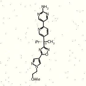 COCCn1cc(-c2nc([C@](C)(c3ccc(-c4cnc(N)nc4)nc3)C(C)C)no2)cn1